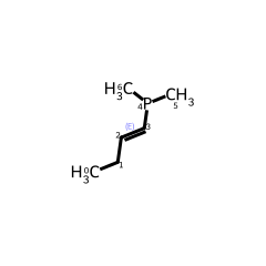 CC/C=C/P(C)C